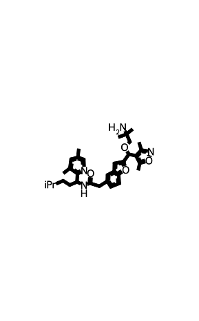 Cc1cnc(C(CCC(C)C)NC(=O)Cc2ccc3oc(C(OCC(C)(C)N)c4c(C)noc4C)cc3c2)c(C)c1